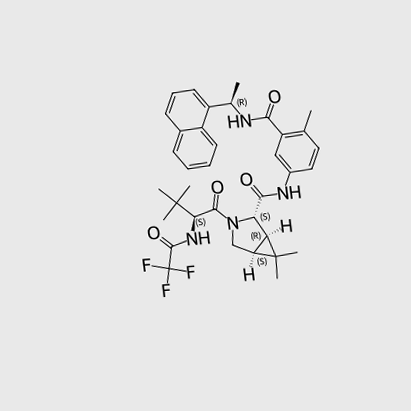 Cc1ccc(NC(=O)[C@@H]2[C@@H]3[C@H](CN2C(=O)[C@@H](NC(=O)C(F)(F)F)C(C)(C)C)C3(C)C)cc1C(=O)N[C@H](C)c1cccc2ccccc12